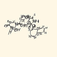 CC(C)OC(=O)[C@H](C)NP(=O)(OC[C@H]1O[C@@H](N2C=C(F)C(=O)NC2O)CC1O)Oc1cccc2ccccc12